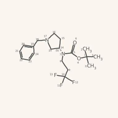 CC(C)(C)OC(=O)N(CCC(F)(F)F)[C@H]1CCN(Cc2ccccc2)C1